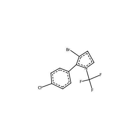 FC(F)(F)n1ccc(Br)c1-c1ccc(Cl)cc1